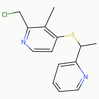 Cc1c(SC(C)c2ccccn2)ccnc1CCl